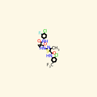 Cc1nc(NC(=O)C2(C(=O)Nc3ccc(Cl)c(F)c3)CC2)sc1C(=O)Nc1cc(C(F)(F)F)ccc1Cl